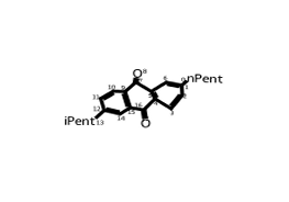 CCCCCc1ccc2c(c1)C(=O)c1ccc(C(C)CCC)cc1C2=O